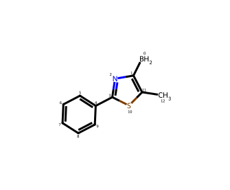 Bc1nc(-c2ccccc2)sc1C